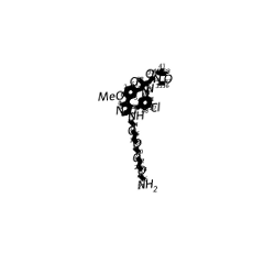 COc1cc2c(cc1-c1cncc(NCCOCCOCCOCCOCCN)c1)-c1c(c(C(=O)N3CCOCC3(C)C)nn1-c1cc(Cl)cc(Cl)c1)CO2